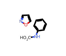 O=C(O)Nc1ccccc1.c1cnoc1